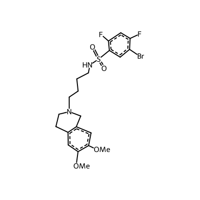 COc1cc2c(cc1OC)CN(CCCCNS(=O)(=O)c1cc(Br)c(F)cc1F)CC2